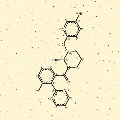 Cc1cccc(C(=O)N2CCC[C@@H](Oc3ccc(Br)cn3)[C@@H]2C)c1-c1ncccn1